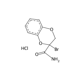 Cl.NC(=O)C1(Br)COc2ccccc2O1